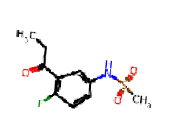 CCC(=O)c1cc(NS(C)(=O)=O)ccc1F